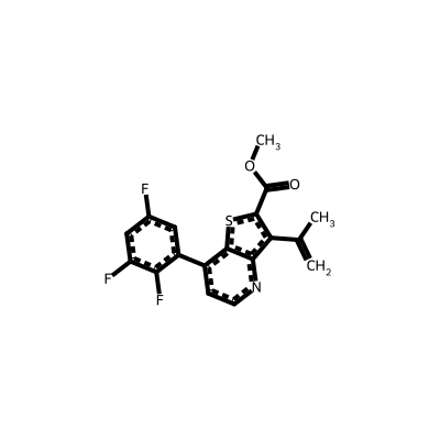 C=C(C)c1c(C(=O)OC)sc2c(-c3cc(F)cc(F)c3F)ccnc12